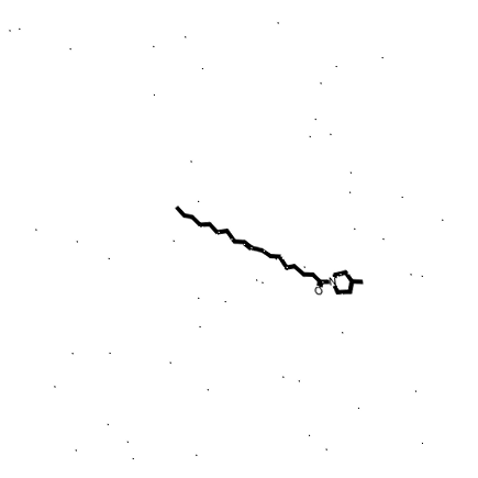 CCCCCCCCC=CCCCCCCCC(=O)N1CCC(C)CC1